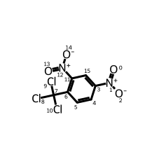 O=[N+]([O-])c1ccc(C(Cl)(Cl)Cl)c([N+](=O)[O-])c1